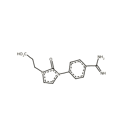 N=C(N)c1ccc(-n2ccn(CCC(=O)O)c2=O)cc1